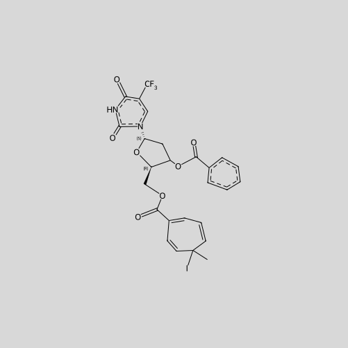 CC1(I)C=CC=C(C(=O)OC[C@H]2O[C@H](n3cc(C(F)(F)F)c(=O)[nH]c3=O)CC2OC(=O)c2ccccc2)C=C1